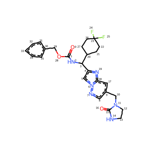 O=C(NC(c1cn2ncc(CN3CCNC3=O)cc2n1)C1CCC(F)(F)CC1)OCc1ccccc1